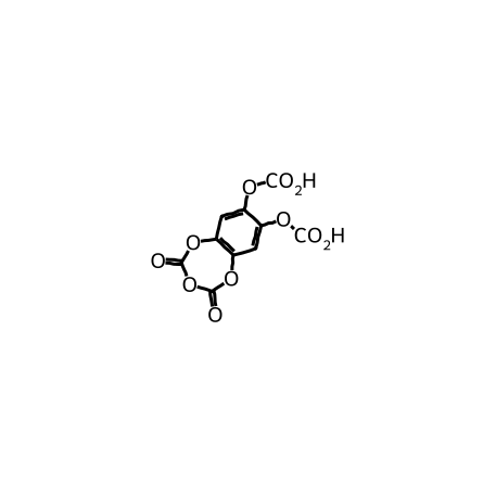 O=C(O)Oc1cc2c(cc1OC(=O)O)OC(=O)OC(=O)O2